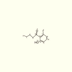 CCCCC(=O)c1c(C)cccc1O